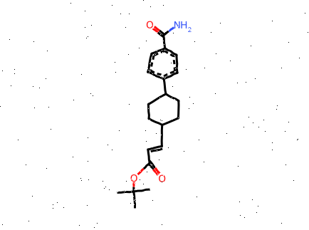 CC(C)(C)OC(=O)C=CC1CCC(c2ccc(C(N)=O)cc2)CC1